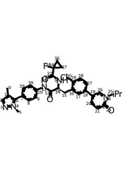 Cc1cnn(C)c1-c1ccc(NC(=O)[C@H](Cc2cc(-c3ccc(=O)n(C(C)C)c3)ccc2Cl)NC(=O)C2(F)CC2)cc1